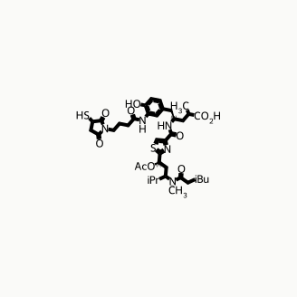 CCC(C)CC(=O)N(C)C(C[C@@H](OC(C)=O)c1nc(C(=O)N[C@@H](Cc2ccc(O)c(NC(=O)CCCN3C(=O)CC(S)C3=O)c2)CC(C)C(=O)O)cs1)C(C)C